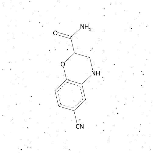 N#Cc1ccc2c(c1)NCC(C(N)=O)O2